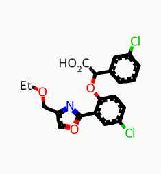 CCOCc1coc(-c2cc(Cl)ccc2OC(C(=O)O)c2cccc(Cl)c2)n1